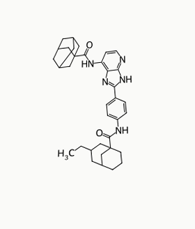 CCC1CC2CCCC(C(=O)Nc3ccc(-c4nc5c(NC(=O)C67CC8CC(CC(C8)C6)C7)ccnc5[nH]4)cc3)(C1)C2